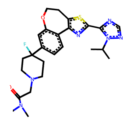 CC(C)n1ncnc1-c1nc2c(s1)CCOc1cc(C3(F)CCN(CC(=O)N(C)C)CC3)ccc1-2